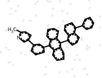 Cc1ccc(-c2cccc(-c3c4ccccc4c(-c4cccc5c(-c6ccccc6)cccc45)c4ccccc34)c2)cn1